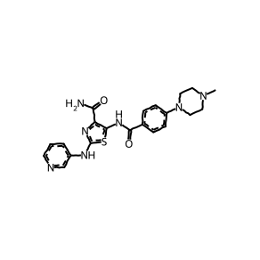 CN1CCN(c2ccc(C(=O)Nc3sc(Nc4cccnc4)nc3C(N)=O)cc2)CC1